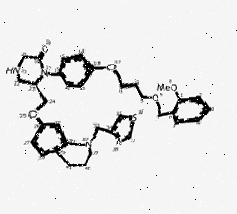 COc1ccccc1COCCCOc1ccc(N2C(=O)CNC[C@@H]2COc2ccc3c(c2)N(Cc2cscn2)CCC3)cc1